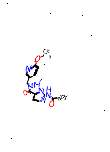 CC(C)C(=O)Nc1nccc(C(=O)NCc2ccc(OCC(F)(F)F)nc2)n1